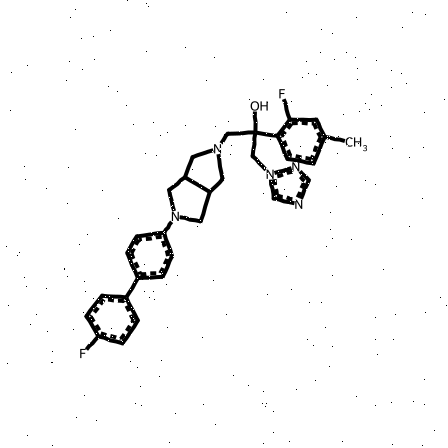 Cc1ccc(C(O)(CN2CC3CN(c4ccc(-c5ccc(F)cc5)cc4)CC3C2)Cn2cncn2)c(F)c1